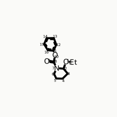 CCOC1CCCCN1C(=O)Oc1ccccc1